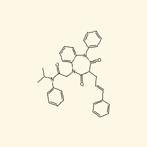 CC(C)N(C(=O)CN1C(=O)C(CC=Cc2ccccc2)C(=O)N(c2ccccc2)c2ccccc21)c1ccccc1